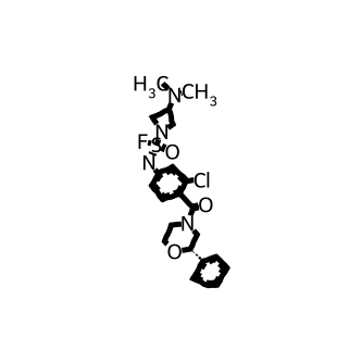 CN(C)C1CN(S(=O)(F)=Nc2ccc(C(=O)N3CCO[C@@H](c4ccccc4)C3)c(Cl)c2)C1